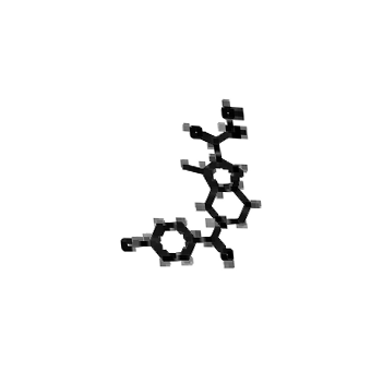 Cc1c(C(=O)NO)sc2c1CN(C(=O)c1ccc(Cl)cc1)CC2